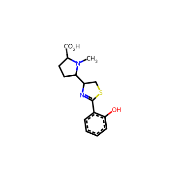 CN1C(C(=O)O)CCC1C1CSC(c2ccccc2O)=N1